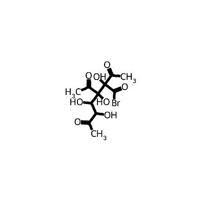 CC(=O)C(O)C(O)C(O)(C(C)=O)C(O)(C(C)=O)C(=O)Br